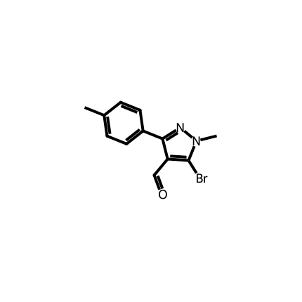 Cc1ccc(-c2nn(C)c(Br)c2C=O)cc1